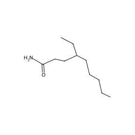 CCCCCC(CC)CCC(N)=O